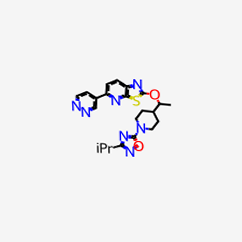 CC(C)c1noc(N2CCC(C(C)Oc3nc4ccc(-c5ccnnc5)nc4s3)CC2)n1